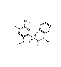 COc1cc(C)c(N)cc1S(=O)(=O)N(C)[C@H](C)c1ccccc1